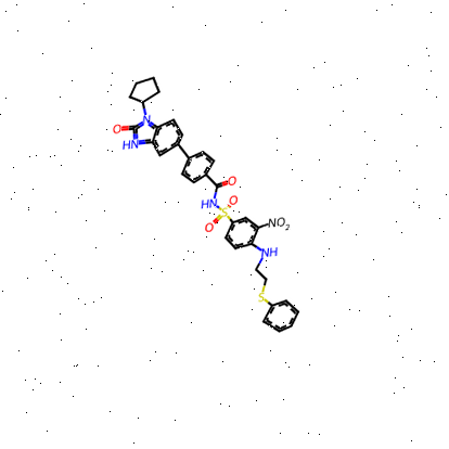 O=C(NS(=O)(=O)c1ccc(NCCSc2ccccc2)c([N+](=O)[O-])c1)c1ccc(-c2ccc3c(c2)[nH]c(=O)n3C2CCCC2)cc1